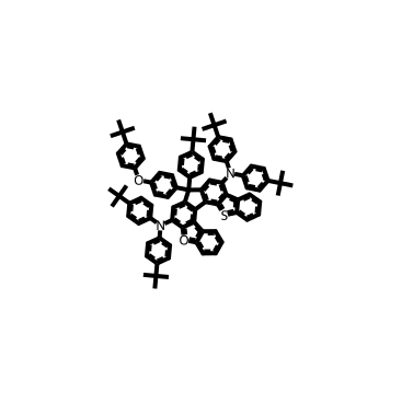 CC(C)(C)c1ccc(Oc2ccc(C3(c4ccc(C(C)(C)C)cc4)c4cc(N(c5ccc(C(C)(C)C)cc5)c5ccc(C(C)(C)C)cc5)c5c(sc6ccccc65)c4-c4c3cc(N(c3ccc(C(C)(C)C)cc3)c3ccc(C(C)(C)C)cc3)c3oc5ccccc5c43)cc2)cc1